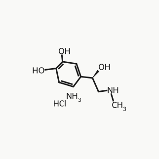 CNC[C@H](O)c1ccc(O)c(O)c1.Cl.N